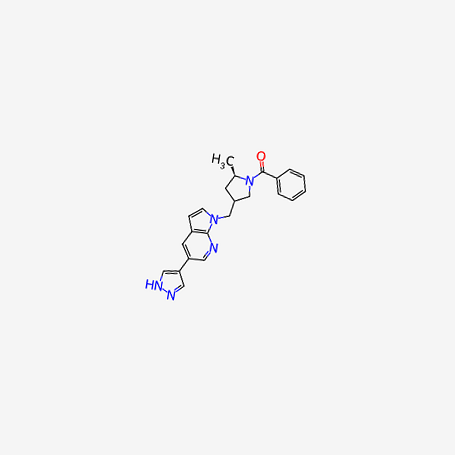 C[C@@H]1CC(Cn2ccc3cc(-c4cn[nH]c4)cnc32)CN1C(=O)c1ccccc1